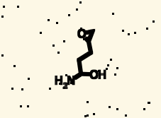 NC(O)CCC1CO1